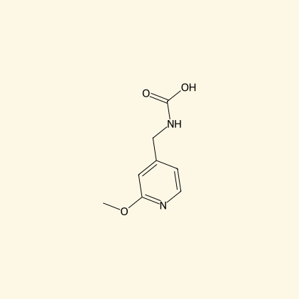 COc1cc(CNC(=O)O)ccn1